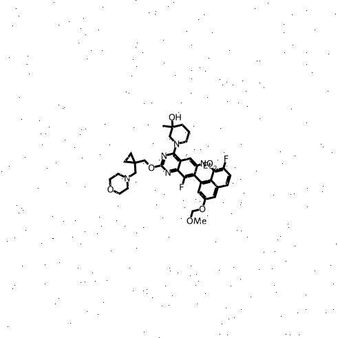 CCc1c(F)ccc2cc(OCOC)cc(-c3c([N+](=O)[O-])cc4c(N5CCCC(C)(O)C5)nc(OCC5(CN6CCOCC6)CC5)nc4c3F)c12